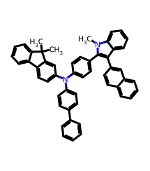 Cn1c(-c2ccc(N(c3ccc(-c4ccccc4)cc3)c3ccc4c(c3)C(C)(C)c3ccccc3-4)cc2)c(-c2ccc3ccccc3c2)c2ccccc21